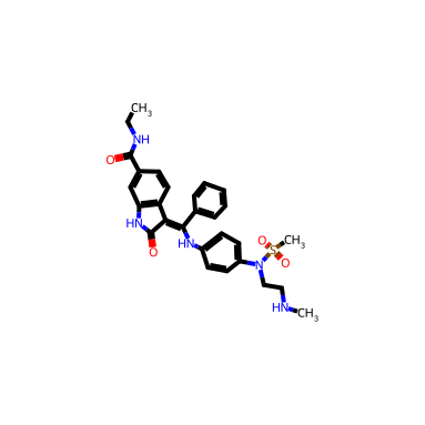 CCNC(=O)c1ccc2c(c1)NC(=O)/C2=C(\Nc1ccc(N(CCNC)S(C)(=O)=O)cc1)c1ccccc1